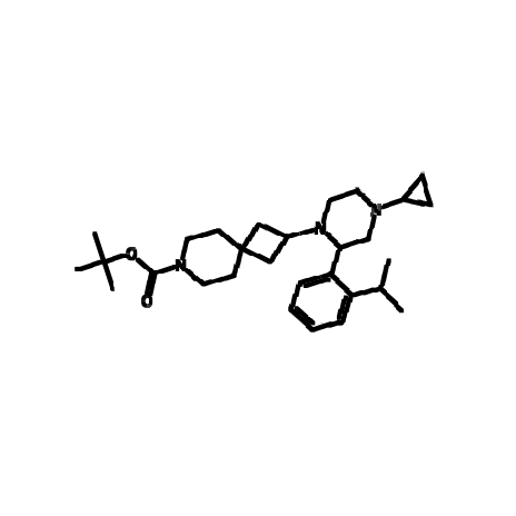 CC(C)c1ccccc1C1CN(C2CC2)CCN1C1CC2(CCN(C(=O)OC(C)(C)C)CC2)C1